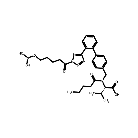 CCCCC(=O)N(Cc1ccc(-c2ccccc2-c2nnn(C(=O)CCCCON(O)O)n2)cc1)[C@H](C(=O)O)C(C)C